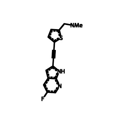 CNCc1ccc(C#Cc2cc3cc(F)cnc3[nH]2)s1